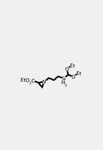 CCOC(=O)C1CN1CCC[SiH2]C(OCC)OCC